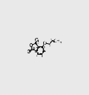 C=CCOc1cccc2c1C(=O)OC2=O